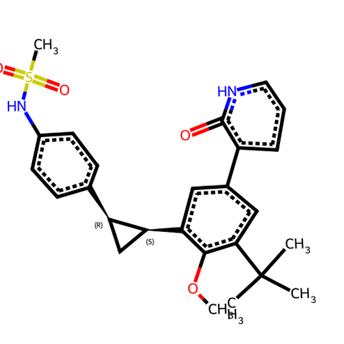 COc1c([C@H]2C[C@H]2c2ccc(NS(C)(=O)=O)cc2)cc(-c2ccc[nH]c2=O)cc1C(C)(C)C